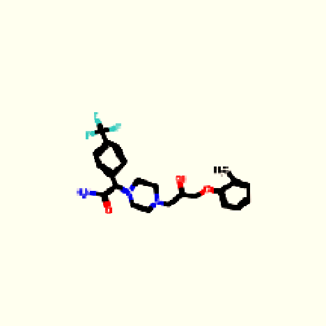 Cc1ccccc1OCC(O)CN1CCN(C(C(N)=O)c2ccc(C(F)(F)F)cc2)CC1